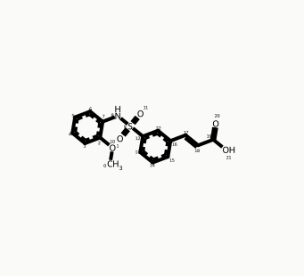 COc1ccccc1NS(=O)(=O)c1cccc(/C=C/C(=O)O)c1